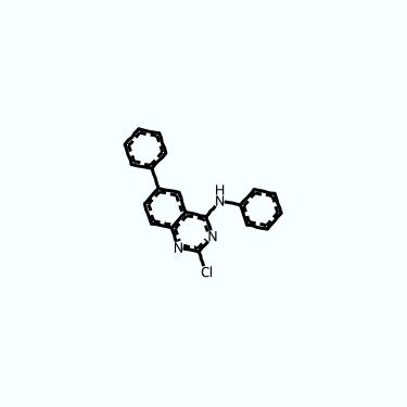 Clc1nc(Nc2ccccc2)c2cc(-c3ccccc3)ccc2n1